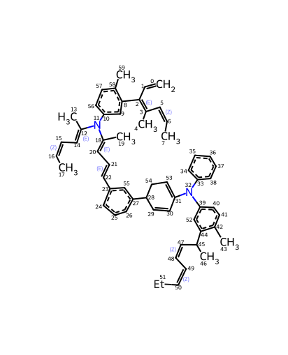 C=C/C(=C(C)\C=C/C)c1cc(N(/C(C)=C/C=C\C)/C(C)=C/C=C/c2cccc(C3C=CC(N(c4ccccc4)c4ccc(C)c(C(C)/C=C\C=C/CC)c4)=CC3)c2)ccc1C